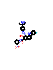 CCC(N)(CC)c1ccc(N=Nc2c(O)c(C(=O)Nc3cccc([N+](=O)[O-])c3)cc3ccc4c5cc(F)ccc5[nH]c4c23)cc1